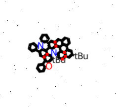 CC(C)(C)c1cc(-c2cccc3cccc(-c4ccccc4N(c4ccc5c(c4)oc4ccccc45)c4ccccc4-c4cccc5c6ccccc6n(-c6ccccc6)c45)c23)cc(C(C)(C)C)c1